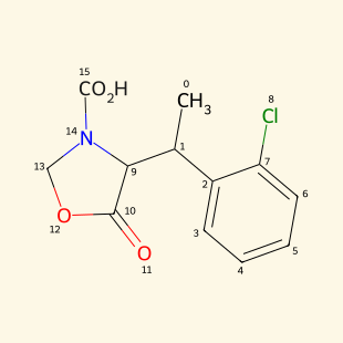 CC(c1ccccc1Cl)C1C(=O)OCN1C(=O)O